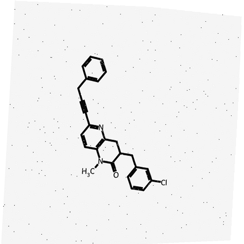 CN1C(=O)C(Cc2cccc(Cl)c2)Cc2nc(C#CCc3ccccc3)ccc21